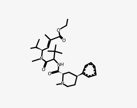 CCOC(=O)/C(C)=C/[C@H](C(C)C)N(C)C(=O)C(NC(=O)[C@@H]1C[C@@H](c2ccccc2)CCN1C)C(C)(C)C